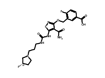 NC(=O)c1c(OCc2cc(C(=O)O)ccc2F)nsc1NC(=O)NCCCN1CC[C@H](F)C1